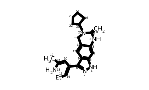 C=C1Nc2cc3[nH]nc(C(/C=C(/C)N)=C/CC)c3cc2CN1C1CCCC1